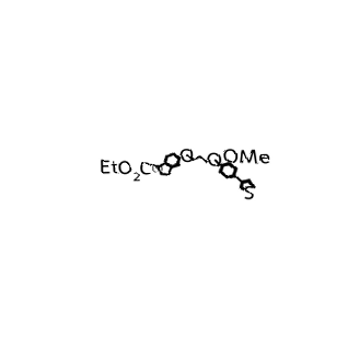 CCOC(=O)C[C@@H]1CCc2cc(OCCCOc3ccc(-c4ccsc4)cc3OC)ccc21